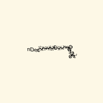 C=C(C)C(=O)OCCOC(=O)CCCCCCCCCCCCCCCCCCCCCCCCCCC